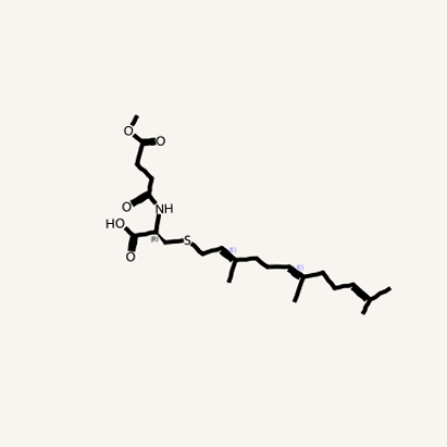 COC(=O)CCC(=O)N[C@@H](CSC/C=C(\C)CC/C=C(\C)CCC=C(C)C)C(=O)O